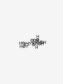 O=C(C=Cc1ccc(O)c(O)c1)C(=O)[C@H](O)[C@@H](O)[C@H](O)[C@H](O)CO